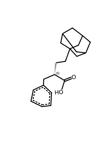 O=C(O)[C@@H](CCC12CC3CC(CC(C3)C1)C2)Cc1ccccc1